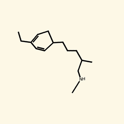 CCC1=CCC(CCCC(C)CNC)C=C1